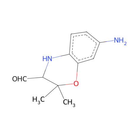 CC1(C)Oc2cc(N)ccc2NC1C=O